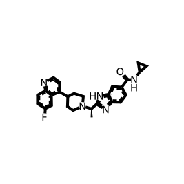 C[C@H](c1nc2ccc(C(=O)NC3CC3)cc2[nH]1)N1CCC(c2ccnc3ccc(F)cc23)CC1